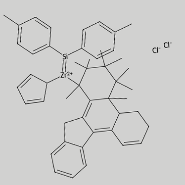 Cc1ccc([Si](c2ccc(C)cc2)=[Zr+2]([CH]2C=CC=C2)[C]2(C)C3=C4Cc5ccccc5C4=C4C=CCCC4C3(C)C(C)(C)C(C)(C)C2(C)C)cc1.[Cl-].[Cl-]